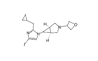 Ic1cn(C2[C@H]3CN(C4COC4)C[C@@H]23)c(CC2CC2)n1